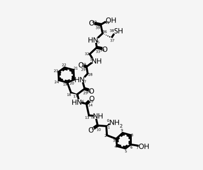 N[C@@H](Cc1ccc(O)cc1)C(=O)NCC(=O)N[C@@H](Cc1ccccc1)C(=O)NCC(=O)NCC(=O)N[C@@H](CS)C(=O)O